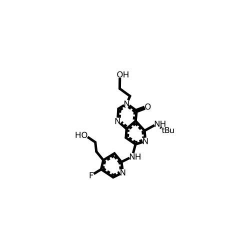 CC(C)(C)Nc1nc(Nc2cc(CCO)c(F)cn2)cc2ncn(CCO)c(=O)c12